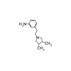 CC1CN(CCc2cccc(N)c2)CC1C